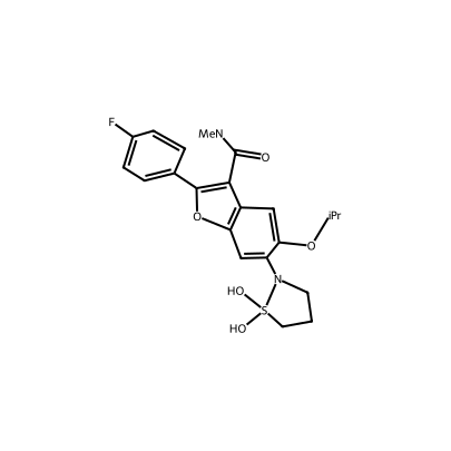 CNC(=O)c1c(-c2ccc(F)cc2)oc2cc(N3CCCS3(O)O)c(OC(C)C)cc12